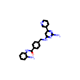 Nc1nc(NCc2ccc(C(=O)Nc3ccccc3N)cc2)cc(-c2cccnc2)n1